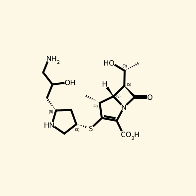 C[C@@H](O)[C@H]1C(=O)N2C(C(=O)O)=C(S[C@@H]3CN[C@H](CC(O)CN)C3)[C@H](C)[C@H]12